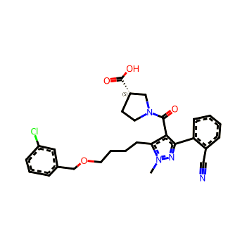 Cn1nc(-c2ccccc2C#N)c(C(=O)N2CC[C@H](C(=O)O)C2)c1CCCCOCc1cccc(Cl)c1